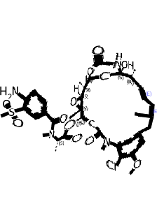 COc1cc2cc(c1Cl)N(C)C(=O)C[C@H](OC(=O)[C@H](C)N(C)C(=O)c1ccc(N)c(S(C)(=O)=O)c1)[C@]1(C)O[C@H]1[C@H](C)[C@@H]1C[C@@](O)(NC(=O)O1)[C@H](C)/C=C/C=C(\C)C2